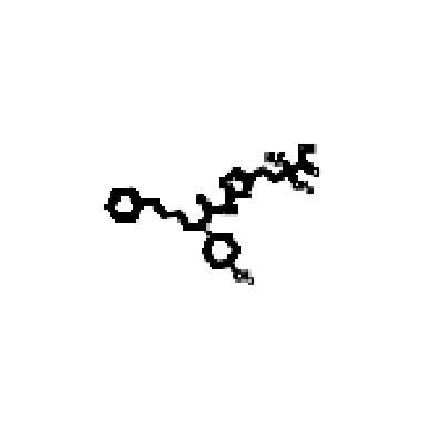 CC(C)(CSc1cnc(NC(=O)N(CCCCc2ccccc2)[C@H]2CC[C@H](C)CC2)s1)C(=O)O